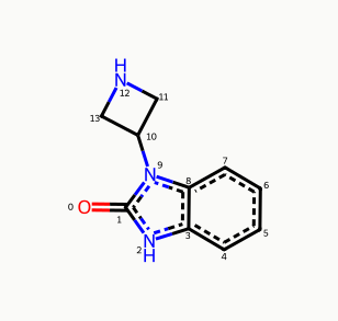 O=c1[nH]c2ccccc2n1C1CNC1